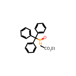 CCOC(=O)C[PH](=O)C(c1ccccc1)(c1ccccc1)c1ccccc1